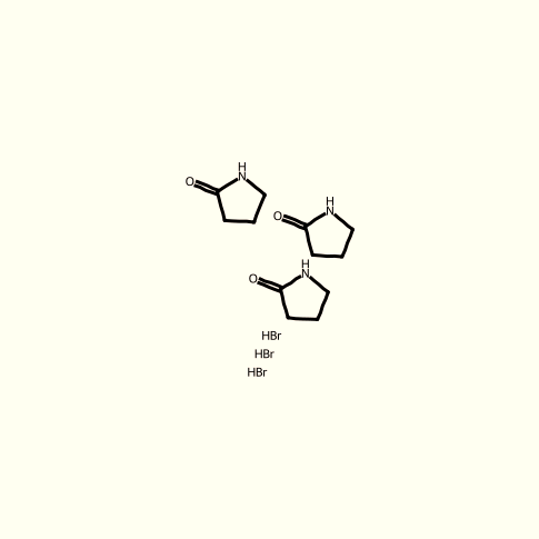 Br.Br.Br.O=C1CCCN1.O=C1CCCN1.O=C1CCCN1